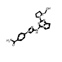 NC(=O)c1ccc(-n2cnc(Nc3nc(N4CCC[C@H]4CO)nc4cccn34)c2)cc1